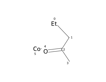 CCCC(C)=O.[Co]